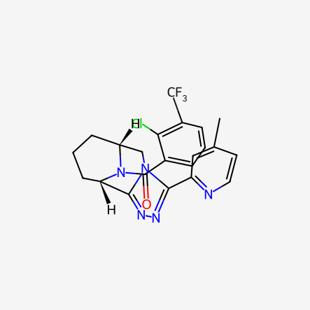 Cc1ccnc(-c2nnc3n2C[C@H]2CCC[C@@H]3N2C(=O)c2cccc(C(F)(F)F)c2Cl)c1